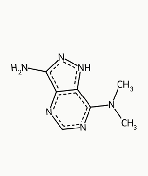 CN(C)c1ncnc2c(N)n[nH]c12